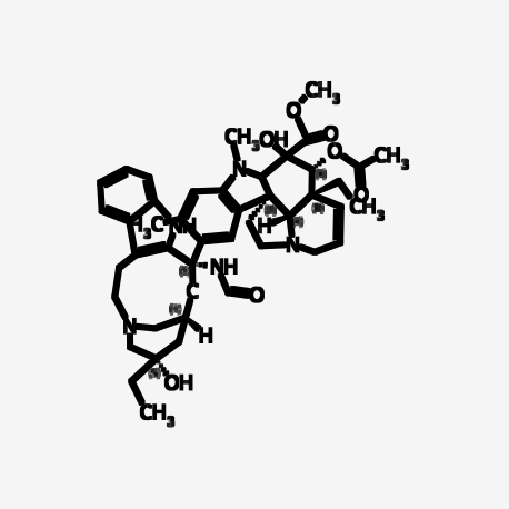 CC[C@]1(O)C[C@@H]2CN(CCc3c([nH]c4ccccc34)[C@@](NC=O)(c3cc4c(cc3C)N(C)C3C(O)(C(=O)OC)[C@H](OC(C)=O)[C@]5(CC)C=CCN6CC[C@]43[C@@H]65)C2)C1